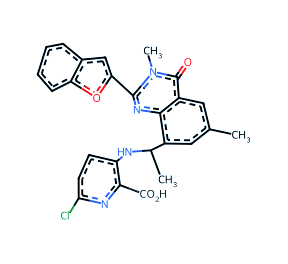 Cc1cc(C(C)Nc2ccc(Cl)nc2C(=O)O)c2nc(-c3cc4ccccc4o3)n(C)c(=O)c2c1